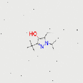 CCc1c(O)c(C(C)(C)C)nn1C(C)C